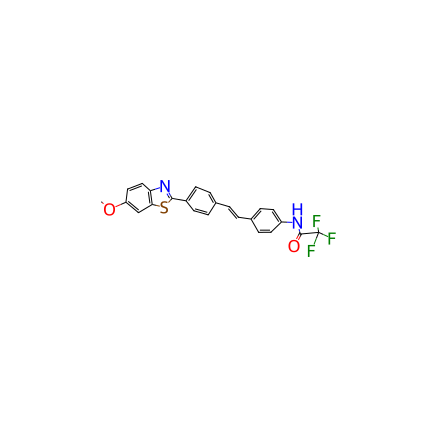 COc1ccc2nc(-c3ccc(C=Cc4ccc(NC(=O)C(F)(F)F)cc4)cc3)sc2c1